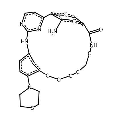 Nc1cc2ccc1-c1ccnc(n1)Nc1ccc(N3CCSCC3)c(c1)COCCCCNC2=O